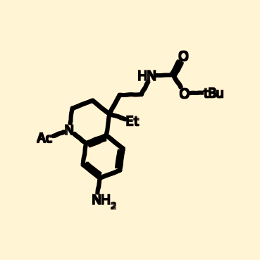 CCC1(CCNC(=O)OC(C)(C)C)CCN(C(C)=O)c2cc(N)ccc21